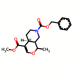 COC(=O)C1=COC(C)C2CN(C(=O)OCc3ccccc3)CC[C@H]12